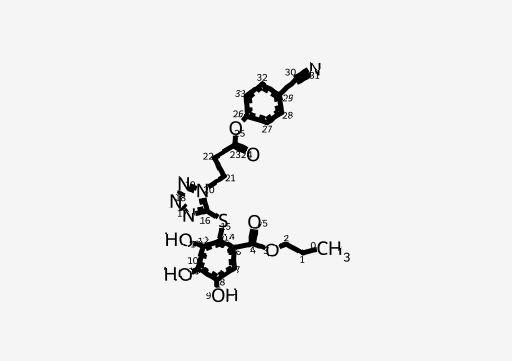 CCCOC(=O)c1cc(O)c(O)c(O)c1Sc1nnnn1CCC(=O)Oc1ccc(C#N)cc1